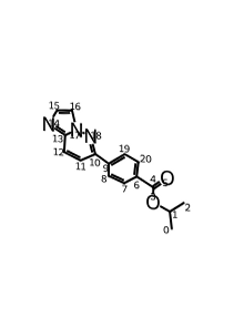 CC(C)OC(=O)c1ccc(-c2ccc3nccn3n2)cc1